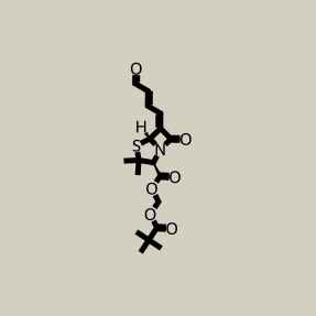 CC(C)(C)C(=O)OCOC(=O)[C@@H]1N2C(=O)/C(=C/C=C/C=O)[C@H]2SC1(C)C